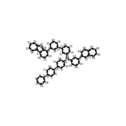 c1ccc(-c2ccc(-c3ccc(N(c4cccc(-c5cccc(-c6cccc7c6sc6ccccc67)c5)c4)c4cccc(-c5ccc6ccccc6c5)c4)cc3)cc2)cc1